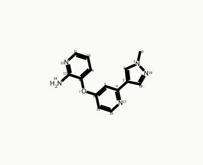 Cn1cc(-c2cc(Oc3cccnc3N)ccn2)cn1